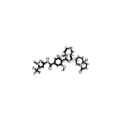 COc1cc(C(=O)Nc2cc(C(F)(F)F)n(C)n2)ccc1C1=NC([C@@H]2CC[C@H]3CCC(=O)N3C2)=C2C=NC=C[N+]12N